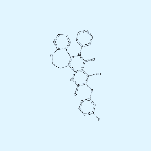 O=c1oc2c3c(n(-c4ccccc4)c(=O)c2c(O)c1Sc1cccc(F)c1)-c1ccccc1OCC3